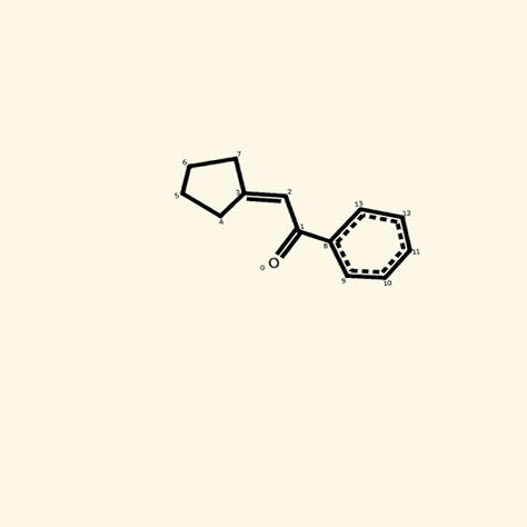 O=C(C=C1CCCC1)c1ccccc1